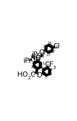 CC(C)NC(C)C.O=C(O)C(Oc1cccc(C(F)(F)F)c1)c1ccc(OCOc2ccc(Cl)cc2)cc1